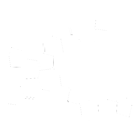 COc1ccc2c(c1)C=C(NC(=O)N1CCOC(CN3CCCC3)C1)Cn1c-2c(C2CCCCC2)c2ccc(C(=O)NS(=O)(=O)N(C)C)cc21